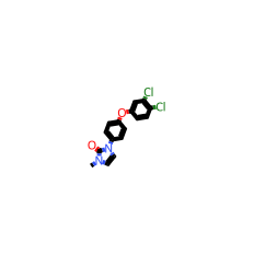 Cn1ccn(-c2ccc(Oc3ccc(Cl)c(Cl)c3)cc2)c1=O